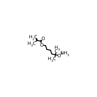 C=C(C)C(=O)OCCCCC(C)(C)O[SiH3]